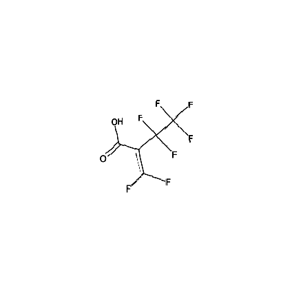 O=C(O)C(=C(F)F)C(F)(F)C(F)(F)F